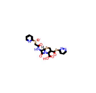 O=C(C[S+]([O-])c1ccccn1)NC1C(=O)N2C(C(=O)O)=C(C(=O)Sc3cccnn3)CS[C@@H]12